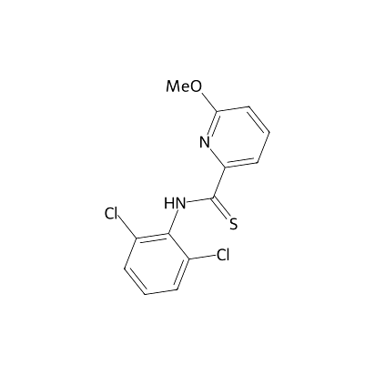 COc1cccc(C(=S)Nc2c(Cl)cccc2Cl)n1